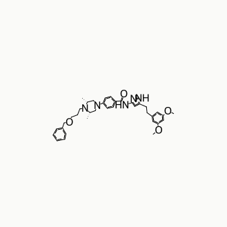 COc1cc(CCc2cc(NC(=O)c3ccc(N4C[C@@H](C)N(CCCOCc5ccccc5)[C@@H](C)C4)cc3)n[nH]2)cc(OC)c1